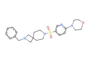 O=S(=O)(c1ccc(N2CCOCC2)nc1)N1CCC2(CC1)CN(Cc1ccccc1)C2